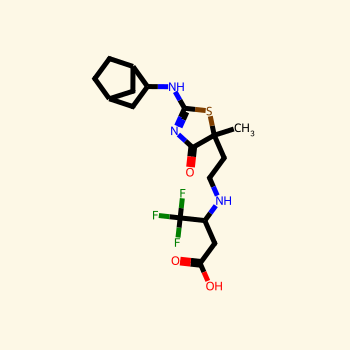 CC1(CCNC(CC(=O)O)C(F)(F)F)SC(NC2CC3CCC2C3)=NC1=O